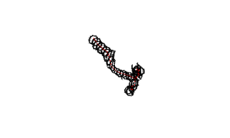 COCCOCCOCCOCCOCCOCCOCCOCCOCCOCCOCCOCCOCCOCCOCCOCCOCCc1cc(NC(=O)C(C)NC(=O)C(OC(N)=O)C(C)C)ccc1COC(=O)Oc1ccc([N+](=O)[O-])cc1